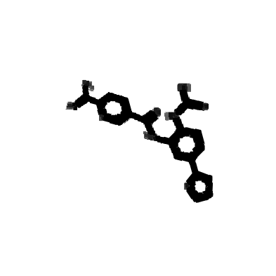 N=C(N)c1ccc(C(=O)Nc2cc(-c3cccs3)ccc2NC(=O)O)cn1